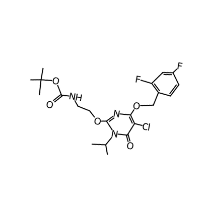 CC(C)n1c(OCCNC(=O)OC(C)(C)C)nc(OCc2ccc(F)cc2F)c(Cl)c1=O